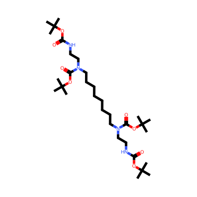 CC(C)(C)OC(=O)NCCN(CCCCCCCCN(CCNC(=O)OC(C)(C)C)C(=O)OC(C)(C)C)C(=O)OC(C)(C)C